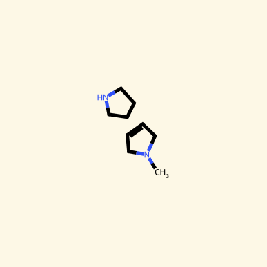 C1CCNC1.CN1CC=CC1